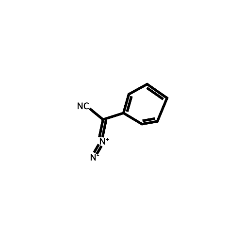 N#CC(=[N+]=[N-])c1ccccc1